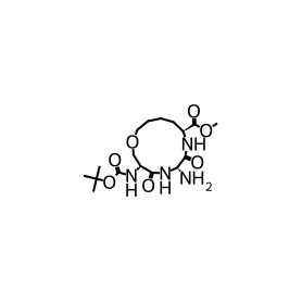 COC(=O)[C@@H]1CCCCOC[C@H](NC(=O)OC(C)(C)C)C(=O)N[C@@H](N)C(=O)N1